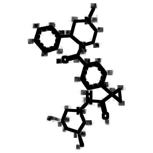 C[C@H]1C[C@H](C)CN(NC(=O)C2(c3ccc(C(=O)N4CCN(C)CC4c4ccccc4)cc3)CC2)C1